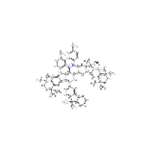 Cc1ccc(N2B3c4cc(C)ccc4-n4c5cc6c(cc5c5c(-c7ccc8c(c7)-c7ccccc7C8(C)C)cc(c3c54)-c3cc4c(cc32)C(C)(C)c2cc3c(cc2-4)C(C)(C)CCC3(C)C)C(C)(C)CCC6(C)C)cc1